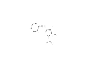 CCc1c(Nc2ccccc2)sc([N+](=O)[O-])c1N